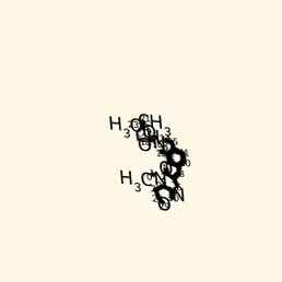 CCN(C(=O)C(C#N)=Cc1ccc2c(c1)CN(C(=O)OC(C)(C)C)CC2)C1CCOCC1